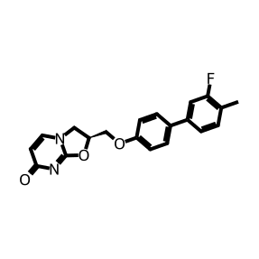 Cc1ccc(-c2ccc(OC[C@@H]3Cn4ccc(=O)nc4O3)cc2)cc1F